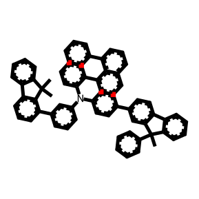 CC1(C)c2ccccc2-c2cccc(-c3cccc(N(c4ccc(-c5ccc6c(c5)C(C)(c5ccccc5)c5ccccc5-6)cc4)c4ccccc4-c4cccc5cccc(-c6ccccc6)c45)c3)c21